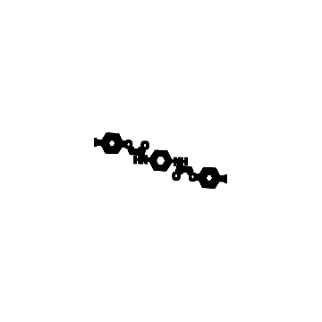 O=C(COc1ccc(I)cc1)N[C@H]1CC[C@H](NC(=O)COc2ccc(I)cc2)CC1